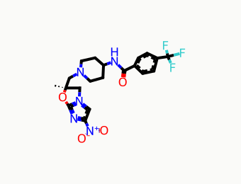 C[C@]1(CN2CCC(NC(=O)c3ccc(C(F)(F)F)cc3)CC2)Cn2cc([N+](=O)[O-])nc2O1